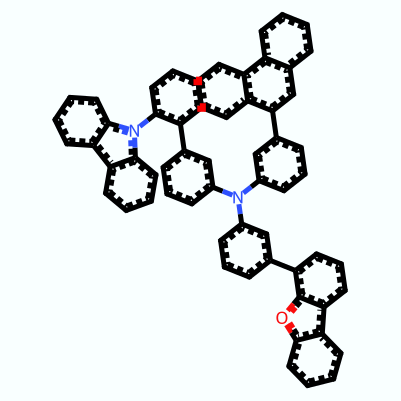 c1cc(-c2ccccc2-n2c3ccccc3c3ccccc32)cc(N(c2cccc(-c3cc4ccccc4c4ccccc34)c2)c2cccc(-c3cccc4c3oc3ccccc34)c2)c1